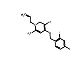 C=CCN1CC(Cl)=C(OCc2ccc(F)cc2F)C=C1C